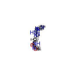 Cc1cc(-c2ccnc(Nc3cnn(C4CCN(C)CC4)c3)n2)ccc1CNC(=O)c1cc(C(C)(C)C)on1